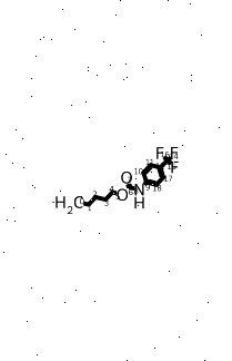 [CH2]CCCCOC(=O)Nc1ccc(C(F)(F)F)cc1